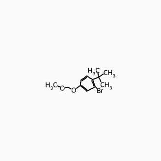 COCOc1ccc(C(C)(C)C)c(Br)c1